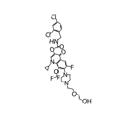 O=C(NCc1ccc(Cl)cc1Cl)Oc1cn(C2CC2)c2c(OC(F)F)c(N3CCN(CCOCCO)CC3)c(F)cc2c1=O